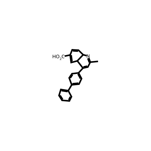 CC1=NC2C=CC(C(=O)O)=CC2C(c2ccc(-c3ccccc3)cc2)=C1